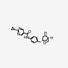 O=C(Nc1ccc(C[C@@]23CN[C@@H](CO2)C3)cc1)c1cnc(C2CC2)nc1